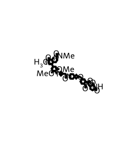 CNC(=O)N1CCc2c(-c3cc(OC)c(CN4CC(CC(=O)N5CCC6(CC5)CC(Oc5ccc7c(c5)C(=O)N(C5CCC(=O)NC5=O)C7=O)C6)C4)c(OC)c3)cn(C)c(=O)c2C1